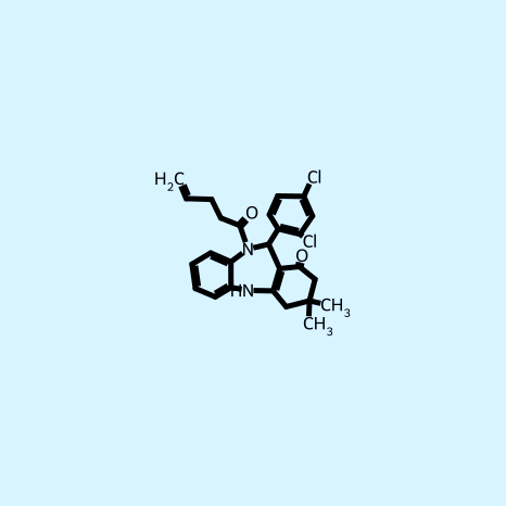 C=CCCC(=O)N1c2ccccc2NC2=C(C(=O)CC(C)(C)C2)C1c1ccc(Cl)cc1Cl